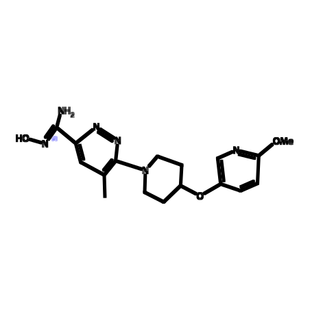 COc1ccc(OC2CCN(c3nnc(/C(N)=N/O)cc3C)CC2)cn1